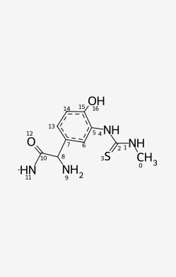 CNC(=S)Nc1cc(C(N)C([NH])=O)ccc1O